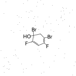 OC1(Br)CC(Br)=C(F)C=C1F